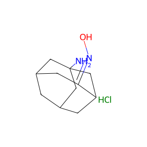 Cl.NC12CC3CC(=NO)C(CC(C3)C1)C2